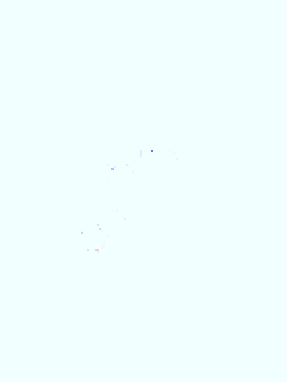 CCC(=O)NC1COCc2c(-c3ccc4ocnc4c3)cncc21